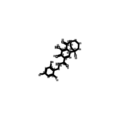 O=C(NCc1c(F)cc(F)cc1F)c1cn2c(c(O)c1=O)C(=O)N1CCC[C@H]2CC1